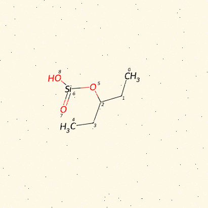 CCC(CC)O[Si](=O)O